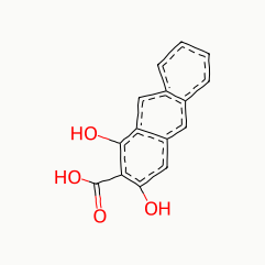 O=C(O)c1c(O)cc2cc3ccccc3cc2c1O